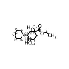 CCOC(=O)C1(C)CCNC(N2CCOCC2)C1.Cl